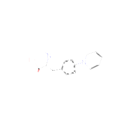 CN[C@@H](Cc1ccc(N2C=CC=CC2)cc1)C(=O)O